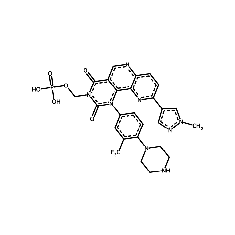 Cn1cc(-c2ccc3ncc4c(=O)n(COP(=O)(O)O)c(=O)n(-c5ccc(N6CCNCC6)c(C(F)(F)F)c5)c4c3n2)cn1